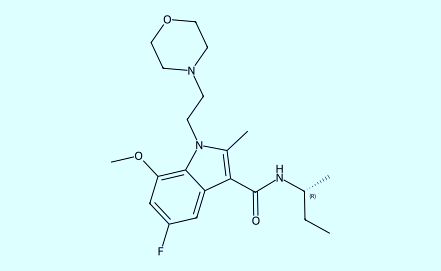 CC[C@@H](C)NC(=O)c1c(C)n(CCN2CCOCC2)c2c(OC)cc(F)cc12